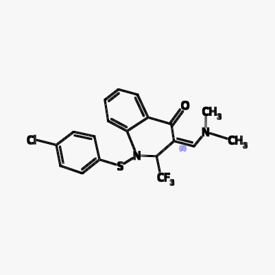 CN(C)/C=C1\C(=O)c2ccccc2N(Sc2ccc(Cl)cc2)C1C(F)(F)F